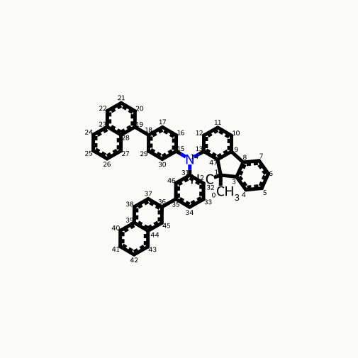 CC1(C)c2ccccc2-c2cccc(N(c3ccc(-c4cccc5ccccc45)cc3)c3cccc(-c4ccc5ccccc5c4)c3)c21